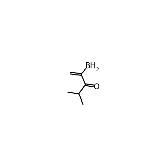 BC(=C)C(=O)C(C)C